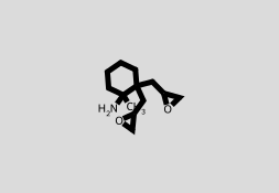 CC1(N)CCCCC1(CC1CO1)CC1CO1